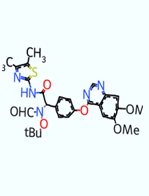 COc1cc2ncnc(Oc3ccc([C@@H](C(=O)Nc4nc(C)c(C)s4)N(C=O)OC(C)(C)C)cc3)c2cc1OC